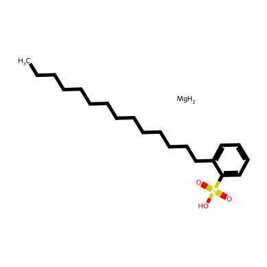 CCCCCCCCCCCCCCc1ccccc1S(=O)(=O)O.[MgH2]